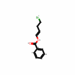 O=C(OC=CCCBr)c1ccccc1